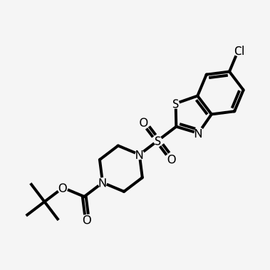 CC(C)(C)OC(=O)N1CCN(S(=O)(=O)c2nc3ccc(Cl)cc3s2)CC1